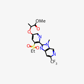 CCS(=O)(=O)c1cc(OC(C)C(=O)OC)cnc1-c1nc2cc(C(F)(F)F)ncc2n1C